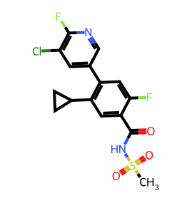 CS(=O)(=O)NC(=O)c1cc(C2CC2)c(-c2cnc(F)c(Cl)c2)cc1F